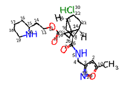 Cc1cc(CNC(=O)[C@H]2[C@H](C(=O)OCC[C@@H]3CCCCN3)[C@H]3CC[C@@H]2C32CC2)no1.Cl